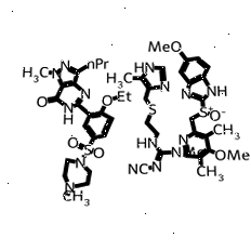 CCCc1nn(C)c2c(=O)[nH]c(-c3cc(S(=O)(=O)N4CCN(C)CC4)ccc3OCC)nc12.CN/C(=N/C#N)NCCSCc1nc[nH]c1C.COc1ccc2[nH]c([S+]([O-])Cc3ncc(C)c(OC)c3C)nc2c1